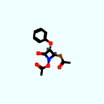 CC(=O)ON1C(=O)[C@H](Oc2ccccc2)[C@H]1SC(C)=O